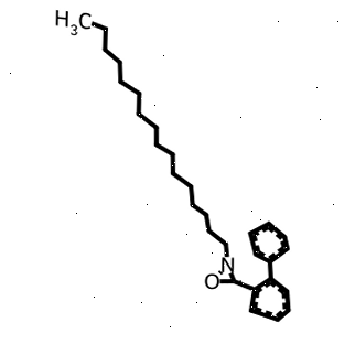 CCCCCCCCCCCCCCCCN1O[C]1c1ccccc1-c1ccccc1